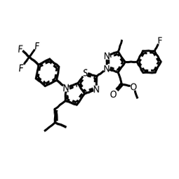 COC(=O)c1c(-c2cccc(F)c2)c(C)nn1-c1nc2cc(C=C(C)C)n(-c3ccc(C(F)(F)F)cc3)c2s1